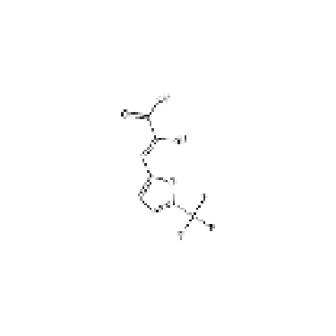 O=C(O)C(S)=Cc1ccc(C(F)(F)F)o1